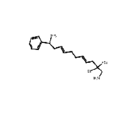 CCCCC(CC)(CN)CC=CCCC=CCC(N)c1ccccc1